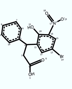 O=C(O)CC(c1ccccc1)c1cc(Br)cc([N+](=O)[O-])c1O